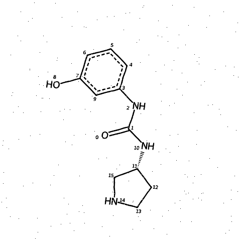 O=C(Nc1cccc(O)c1)N[C@@H]1CCNC1